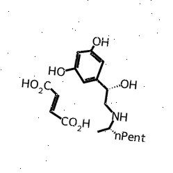 CCCCC[C@H](C)NC[C@@H](O)c1cc(O)cc(O)c1.O=C(O)/C=C/C(=O)O